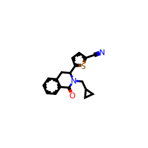 N#Cc1ccc(C2Cc3ccccc3C(=O)N2CC2CC2)s1